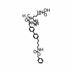 CN(C(=O)CCc1ccc(-c2ccc(CCCCNC(=O)OCc3ccccc3)cc2)cc1)C(CCCCNC(=O)O)c1nnn[nH]1